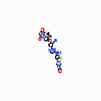 CN1C(=O)CC[C@H]1C(=O)N1CC[C@H](Oc2ccc(-c3nccc(Nc4ccc(N5CCN(C6COC6)CC5)c(F)c4)n3)cc2C#N)[C@H](F)C1